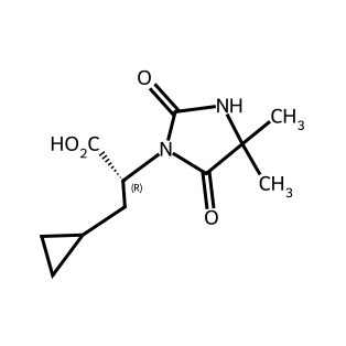 CC1(C)NC(=O)N([C@H](CC2CC2)C(=O)O)C1=O